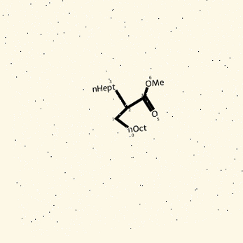 CCCCCCCCCC(CCCCCCC)C(=O)OC